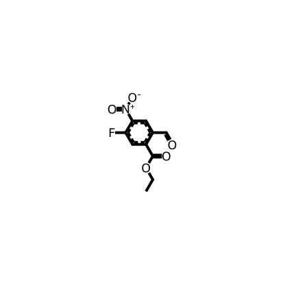 CCOC(=O)c1cc(F)c([N+](=O)[O-])cc1C=O